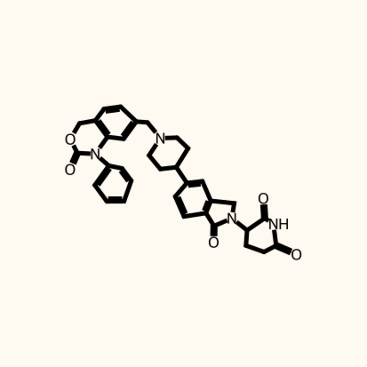 O=C1CCC(N2Cc3cc(C4CCN(Cc5ccc6c(c5)N(c5ccccc5)C(=O)OC6)CC4)ccc3C2=O)C(=O)N1